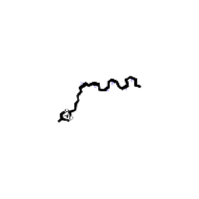 CC/C=C\C/C=C\C/C=C\C/C=C\C/C=C\C/C=C\CCCCCC12OCC(C)(CO1)CO2